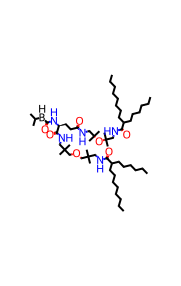 CCCCCCCCC(CCCCCC)C(=O)NCC(C)(C)COCC(C)(C)CNC(=O)[C@H](CCC(=O)NCC(C)(C)OC(C)(C)CNC(=O)C(CCCCCC)CCCCCCCC)NC(=O)BC(C)C